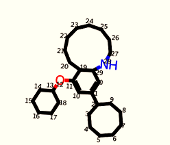 C1=C(C2CCCCCCC2)C=C(OC2CCCCC2)C2CCCCCCCCNC12